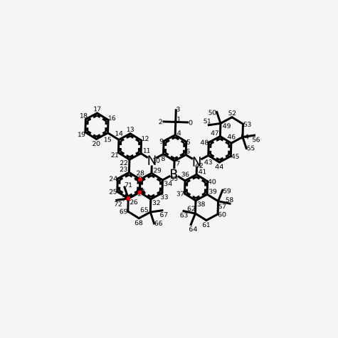 CC(C)(C)c1cc2c3c(c1)N(c1ccc(-c4ccccc4)cc1-c1ccccc1)c1cc4c(cc1B3c1cc3c(cc1N2c1ccc2c(c1)C(C)(C)CCC2(C)C)C(C)(C)CCC3(C)C)C(C)(C)CCC4(C)C